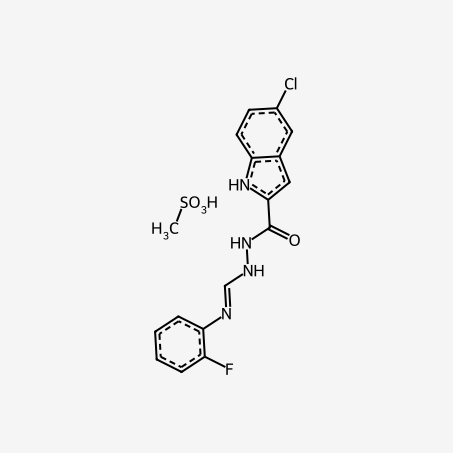 CS(=O)(=O)O.O=C(NNC=Nc1ccccc1F)c1cc2cc(Cl)ccc2[nH]1